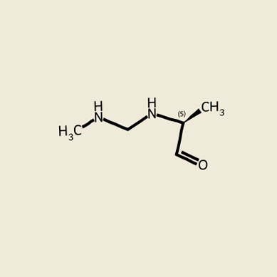 CNCN[C@@H](C)C=O